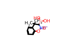 CC1(C)c2ccccc2O[NH+]([O-])C1B(O)O